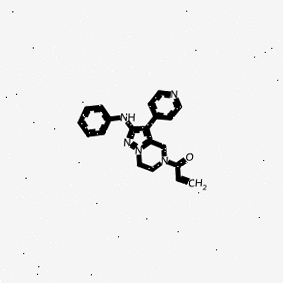 C=CC(=O)N1CCn2nc(Nc3ccccc3)c(-c3ccncc3)c2C1